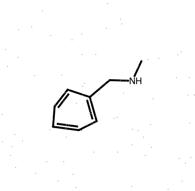 CNCc1c[c]ccc1